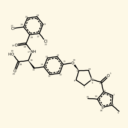 Cc1cc(C(=O)N2CC[C@@H](Oc3ccc(C[C@H](NC(=O)c4c(Cl)cccc4Cl)C(=O)O)cc3)C2)c(C)s1